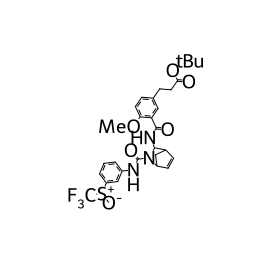 COc1ccc(CCC(=O)OC(C)(C)C)cc1C(=O)NC1C2C=CC(C2)N1C(=O)Nc1cccc([S+]([O-])C(F)(F)F)c1